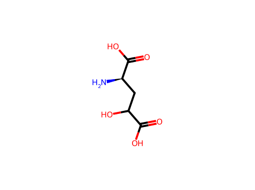 N[C@H](CC(O)C(=O)O)C(=O)O